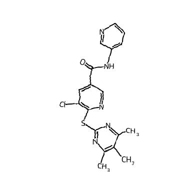 Cc1nc(Sc2ncc(C(=O)Nc3cccnc3)cc2Cl)nc(C)c1C